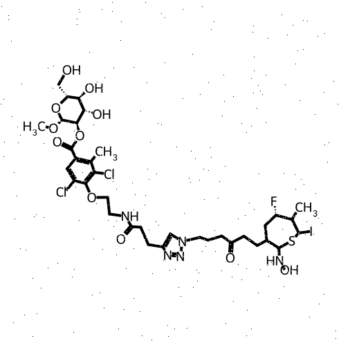 CO[C@H]1O[C@H](CO)[C@@H](O)[C@H](O)[C@H]1OC(=O)c1cc(Cl)c(OCCNC(=O)CCc2cn(CCCC(=O)CCC3C[C@H](F)C(C)C(I)SC3NO)nn2)c(Cl)c1C